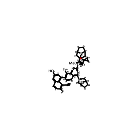 C#Cc1c(F)ccc2cc(O)cc(-c3ccc4c(N5CC6CCC(C5)N6)nc(OCC5(CN6C7CCC6CC(C(=O)OC)C7)CC5)nc4c3F)c12